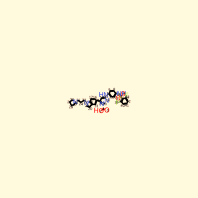 O=CO.O=S(=O)(Nc1ccc(Nc2cc(-c3ccc4c(ccn4CCCN4CCCC4)c3)ncn2)cc1)c1c(F)cccc1F